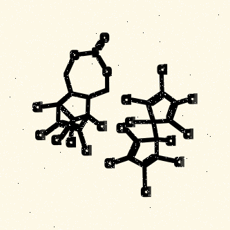 ClC1=C(Cl)C(Cl)(C2(Cl)C(Cl)=C(Cl)C(Cl)=C2Cl)C(Cl)=C1Cl.O=S1OCC2C(CO1)C1(Cl)C(Cl)=C(Cl)C2(Cl)C1(Cl)Cl